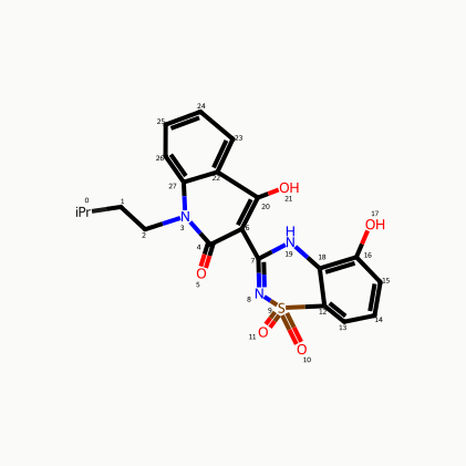 CC(C)CCn1c(=O)c(C2=NS(=O)(=O)c3cccc(O)c3N2)c(O)c2ccccc21